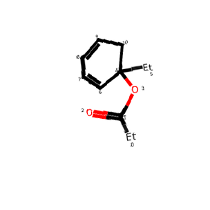 CCC(=O)OC1(CC)C=CC=CC1